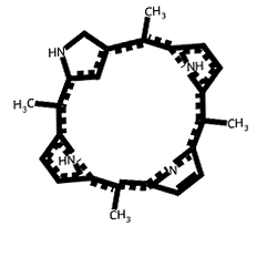 Cc1c2cc(c(C)c3ccc([nH]3)c(C)c3nc(c(C)c4ccc1[nH]4)C=C3)NC2